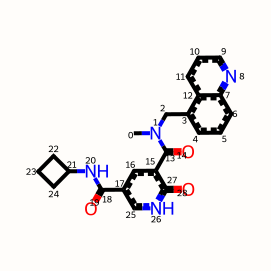 CN(Cc1cccc2ncccc12)C(=O)c1cc(C(=O)NC2CCC2)c[nH]c1=O